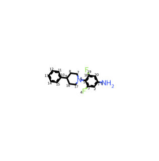 Nc1cc(F)c(N2CCC(c3ccccc3)CC2)c(F)c1